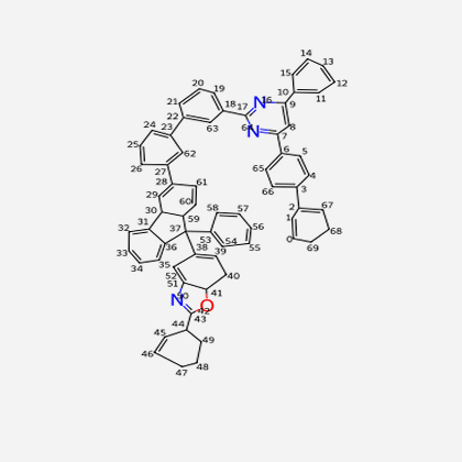 C1=CC(c2ccc(-c3cc(-c4ccccc4)nc(-c4cccc(-c5cccc(C6=CC7c8ccccc8C(C8=CCC9OC(C%10C=CCCC%10)=NC9=C8)(c8ccccc8)C7C=C6)c5)c4)n3)cc2)=CCC1